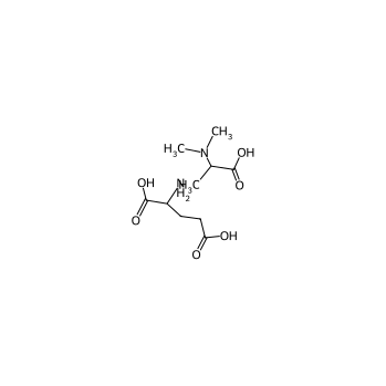 CC(C(=O)O)N(C)C.NC(CCC(=O)O)C(=O)O